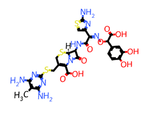 Cc1c(N)nc(SCC2=C(C(=O)O)N3C(=O)C(NC(=O)/C(=N\OC(C(=O)O)c4ccc(O)c(O)c4)c4csc(N)n4)[C@@H]3SC2)nc1N